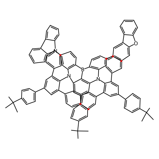 CC(C)(C)c1ccc(-c2cc(-c3ccccc3)c(N3c4cc(-c5ccc6oc7ccccc7c6c5)ccc4B4c5ccc(-n6c7ccccc7c7ccccc76)cc5N(c5c(-c6ccccc6)cc(-c6ccc(C(C)(C)C)cc6)cc5-c5ccccc5)c5cc(-c6ccc(C(C)(C)C)cc6)cc3c54)c(-c3ccccc3)c2)cc1